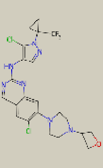 FC(F)(F)C1(n2ncc(Nc3ncc4cc(Cl)c(N5CCN(C6COC6)CC5)cc4n3)c2Cl)CC1